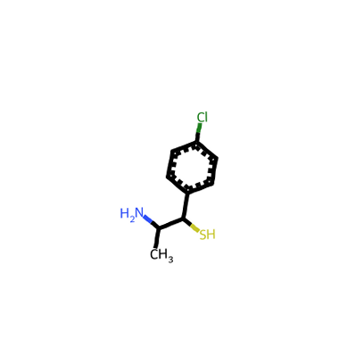 CC(N)C(S)c1ccc(Cl)cc1